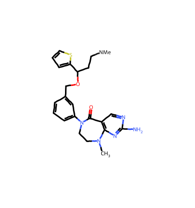 CNCCC(OCc1cccc(N2CCN(C)c3nc(N)ncc3C2=O)c1)c1cccs1